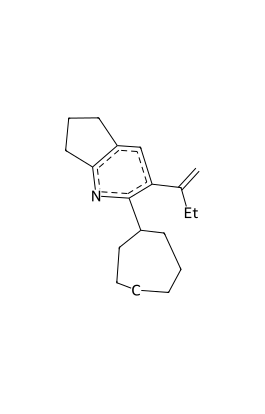 C=C(CC)c1cc2c(nc1C1CCCCCC1)CCC2